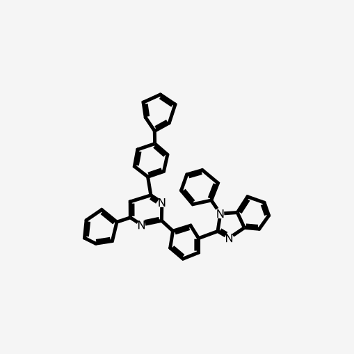 c1ccc(-c2ccc(-c3cc(-c4ccccc4)nc(-c4cccc(-c5nc6ccccc6n5-c5ccccc5)c4)n3)cc2)cc1